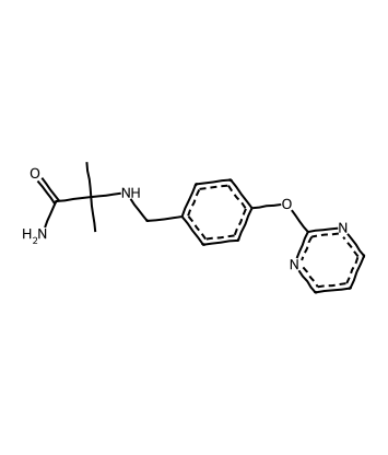 CC(C)(NCc1ccc(Oc2ncccn2)cc1)C(N)=O